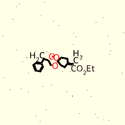 C=C(c1ccccc1)C1COC2(CCC(=C(C)C(=O)OCC)CC2)OO1